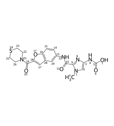 Cn1cc(NC(=O)O)nc1C(=O)Nc1ccc2oc(C(=O)N3CCSCC3)cc2c1